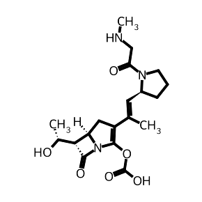 CNCC(=O)N1CCC[C@H]1C=C(C)C1=C(OC(=O)O)N2C(=O)[C@H]([C@@H](C)O)[C@H]2C1